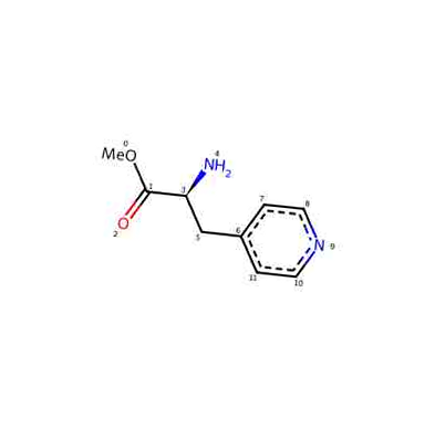 COC(=O)[C@@H](N)Cc1ccncc1